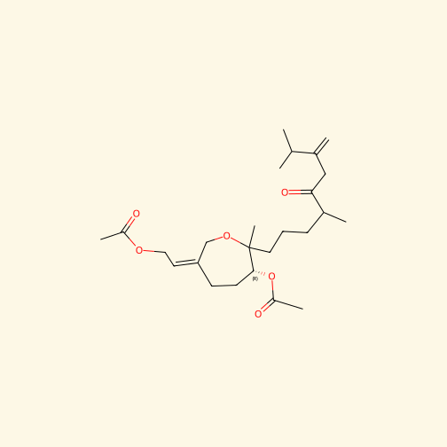 C=C(CC(=O)C(C)CCCC1(C)OCC(=CCOC(C)=O)CC[C@H]1OC(C)=O)C(C)C